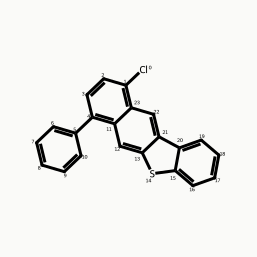 Clc1ccc(-c2ccccc2)c2cc3sc4ccccc4c3cc12